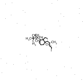 C[C@H](CCI)[C@H]1CC[C@H]2C(O[Si](C)(C)C(C)(C)C)CCCC12C